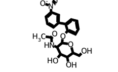 CC(=O)NC1C(Oc2ccccc2-c2cccc([N+](=O)[O-])c2)OC(CO)C(O)C1O